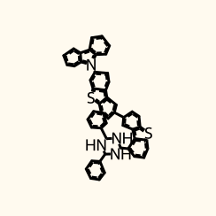 c1ccc(C2NC(c3ccccc3)NC(c3cccc4sc5ccc(-c6ccc7sc8cc(-n9c%10ccccc%10c%10ccccc%109)ccc8c7c6)cc5c34)N2)cc1